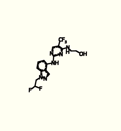 OCCNc1nc(Nc2cccc3c2cnn3CC(F)F)ncc1C(F)(F)F